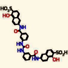 O=C(Nc1cccc(C(=O)Nc2ccc3c(O)c(S(=O)(=O)O)ccc3c2)c1)Nc1cccc(C(=O)Nc2ccc3c(O)c(S(=O)(=O)O)ccc3c2)c1